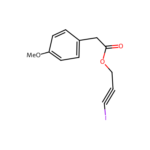 COc1ccc(CC(=O)OCC#CI)cc1